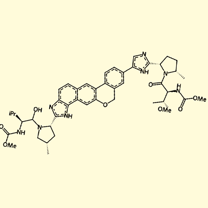 COC(=O)N[C@@H](C(C)C)C(O)N1C[C@@H](C)C[C@H]1c1nc2ccc3cc4c(cc3c2[nH]1)OCc1cc(-c2cnc([C@@H]3CC[C@H](C)N3C(=O)[C@@H](NC(=O)OC)[C@@H](C)OC)[nH]2)ccc1-4